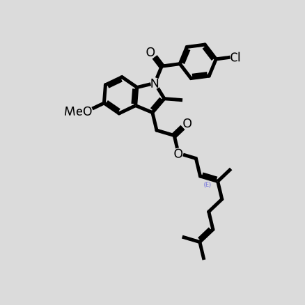 COc1ccc2c(c1)c(CC(=O)OC/C=C(\C)CCC=C(C)C)c(C)n2C(=O)c1ccc(Cl)cc1